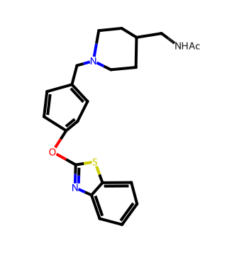 CC(=O)NCC1CCN(Cc2ccc(Oc3nc4ccccc4s3)cc2)CC1